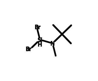 CN([SiH](Br)Br)C(C)(C)C